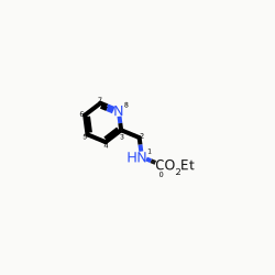 CCOC(=O)NCc1ccccn1